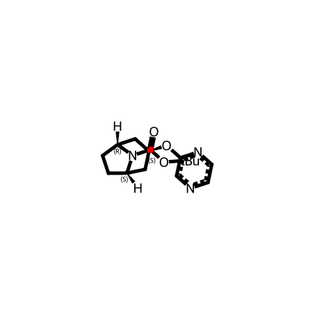 CC(C)(C)OC(=O)N1[C@@H]2CC[C@H]1C[C@H](Oc1cnccn1)C2